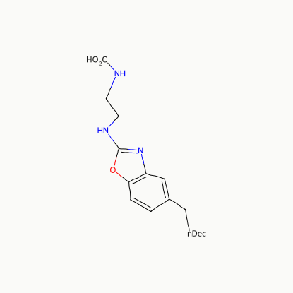 CCCCCCCCCCCc1ccc2oc(NCCNC(=O)O)nc2c1